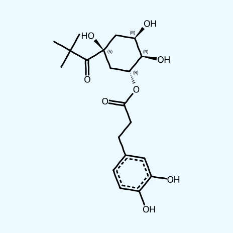 CC(C)(C)C(=O)[C@]1(O)C[C@@H](O)[C@@H](O)[C@H](OC(=O)CCc2ccc(O)c(O)c2)C1